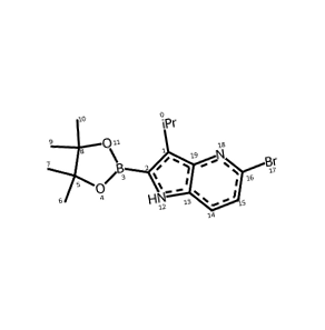 CC(C)c1c(B2OC(C)(C)C(C)(C)O2)[nH]c2ccc(Br)nc12